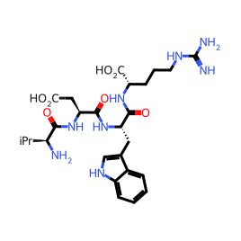 CC(C)[C@H](N)C(=O)N[C@@H](CC(=O)O)C(=O)N[C@@H](Cc1c[nH]c2ccccc12)C(=O)N[C@@H](CCCNC(=N)N)C(=O)O